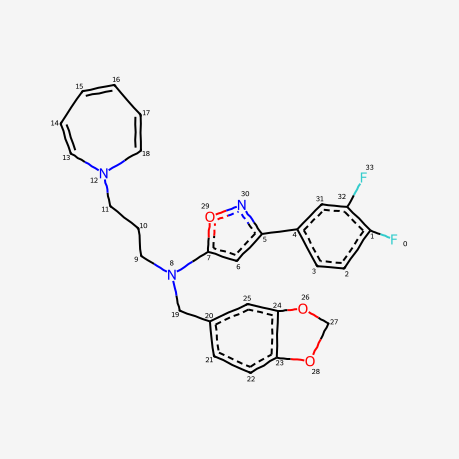 Fc1ccc(-c2cc(N(CCCN3C=CC=CC=C3)Cc3ccc4c(c3)OCO4)on2)cc1F